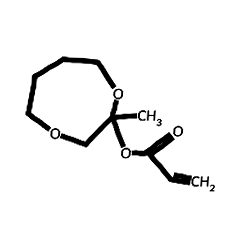 C=CC(=O)OC1(C)COCCCCO1